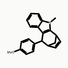 COc1ccc(C2c3c(n(C)c4ccccc34)C3C=CC2C3)cc1